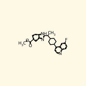 COC(=O)c1ccc2[nH]c(C(C)C3CCC(c4ccnc5ccc(F)cc45)CC3)nc2c1